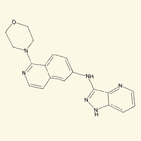 c1cnc2c(Nc3ccc4c(N5CCOCC5)nccc4c3)n[nH]c2c1